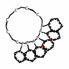 c1ccc(P2CCCCCCCCCCCCP(c3ccccc3)P(c3ccccc3)P(c3ccccc3)P(c3ccccc3)P2c2ccccc2)cc1